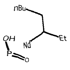 CCCCC[CH]([Nd])CC.O=PO